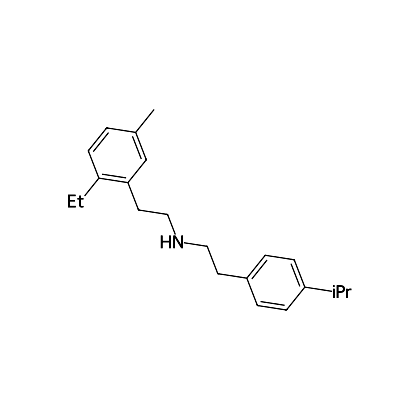 CCc1ccc(C)cc1CCNCCc1ccc(C(C)C)cc1